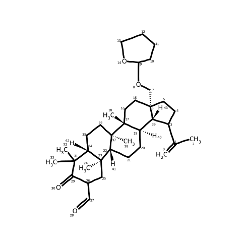 C=C(C)C1CC[C@]2(COC3CCCCO3)CC[C@]3(C)[C@H](CC[C@@H]4[C@@]5(C)CC(C=O)C(=O)C(C)(C)[C@@H]5CC[C@]43C)[C@@H]12